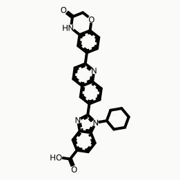 O=C1COc2ccc(-c3ccc4cc(-c5nc6cc(C(=O)O)ccc6n5C5CCCCC5)ccc4n3)cc2N1